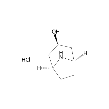 Cl.O[C@H]1C[C@H]2CC[C@@H](C1)N2